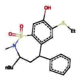 CCCCC1CC(c2ccccc2)c2cc(SCC)c(O)cc2S(=O)(=O)N1C